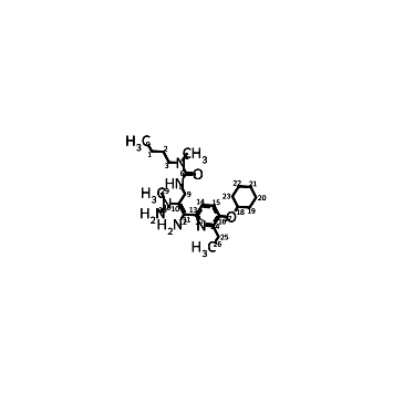 CCCCN(C)C(=O)NC/C(=C(/N)c1ccc(OC2CCCCC2)c(CC)n1)N(C)N